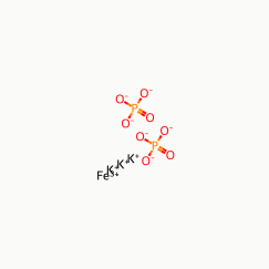 O=P([O-])([O-])[O-].O=P([O-])([O-])[O-].[Fe+3].[K+].[K+].[K+]